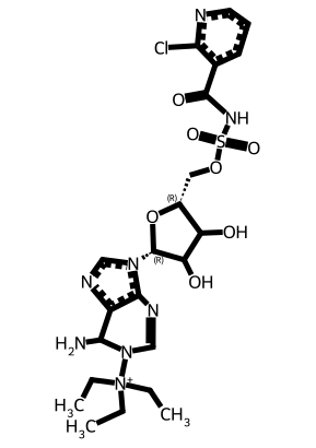 CC[N+](CC)(CC)N1C=Nc2c(ncn2[C@@H]2O[C@H](COS(=O)(=O)NC(=O)c3cccnc3Cl)C(O)C2O)C1N